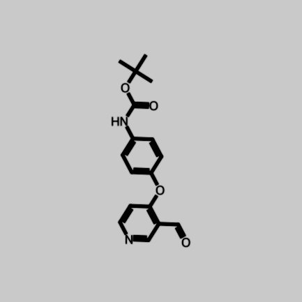 CC(C)(C)OC(=O)Nc1ccc(Oc2ccncc2C=O)cc1